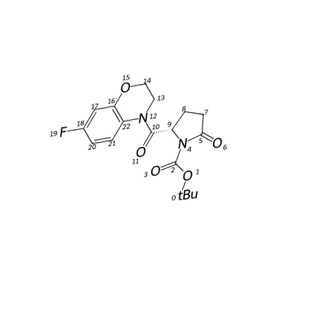 CC(C)(C)OC(=O)N1C(=O)CC[C@H]1C(=O)N1CCOc2cc(F)ccc21